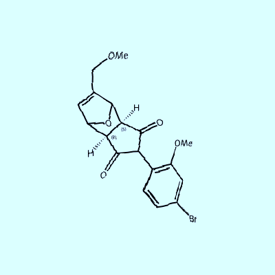 COCC1=CC2OC1[C@H]1C(=O)C(c3ccc(Br)cc3OC)C(=O)[C@@H]21